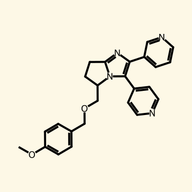 COc1ccc(COCC2CCc3nc(-c4cccnc4)c(-c4ccncc4)n32)cc1